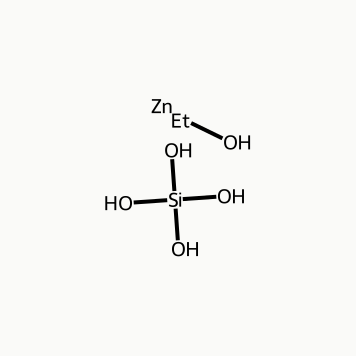 CCO.O[Si](O)(O)O.[Zn]